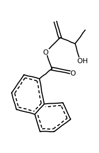 C=C(OC(=O)c1cccc2ccccc12)C(C)O